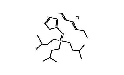 CC(C)CCP(CCC(C)C)(CCC(C)C)=NC1=CC=CC1.CC=CC=CCC.[Ti]